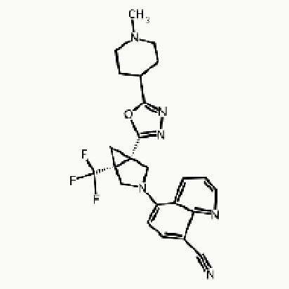 CN1CCC(c2nnc([C@]34CN(c5ccc(C#N)c6ncccc56)C[C@@]3(C(F)(F)F)C4)o2)CC1